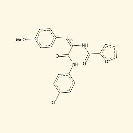 COc1ccc(/C=C(/NC(=O)c2ccco2)C(=O)Nc2ccc(Cl)cc2)cc1